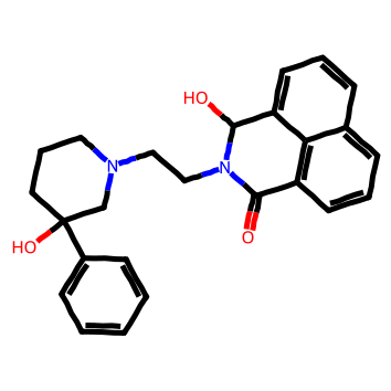 O=C1c2cccc3cccc(c23)C(O)N1CCN1CCCC(O)(c2ccccc2)C1